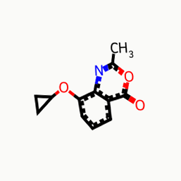 Cc1nc2c(OC3CC3)cccc2c(=O)o1